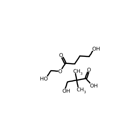 CC(C)(CO)C(=O)O.O=C(CCCO)OCO